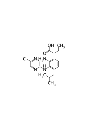 CCC(C(=O)O)c1ccc(CC(C)C)c(Nc2cnc(Cl)cn2)c1N